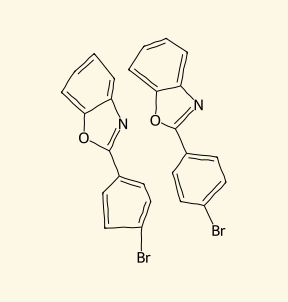 Brc1ccc(-c2nc3ccccc3o2)cc1.Brc1ccc(-c2nc3ccccc3o2)cc1